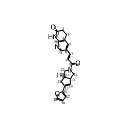 O=C1CCc2cc(/C=C/C(=O)N3CC4C=C(c5ccco5)C[C@H]4C3)cnc2N1